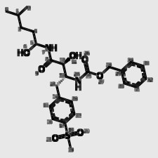 CC(C)CCC(O)NC(=O)[C@@H](O)[C@@H](Cc1ccc(S(C)(=O)=O)cc1)NC(=O)OCc1ccccc1